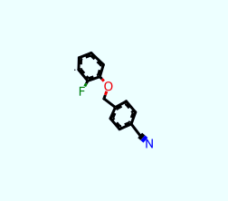 N#Cc1ccc(COc2ccc[c]c2F)cc1